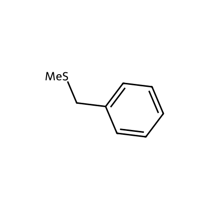 [CH]SCc1ccccc1